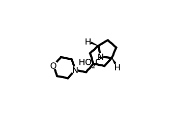 O=C(O)N1[C@@H]2CC[C@H]1CC(CN1CCOCC1)C2